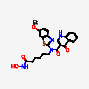 CCOc1ccc2nc(N(CCCCCC(=O)NO)C(=O)c3c[nH]c4ccccc4c3=O)sc2c1